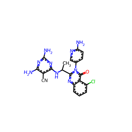 CC(Nc1nc(N)nc(N)c1C#N)c1nc2cccc(Cl)c2c(=O)n1-c1ccc(N)nc1